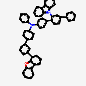 c1ccc(-c2ccc(-c3ccc(N(c4ccccc4)c4ccc(-c5cccc(-c6cccc7c6oc6ccccc67)c5)cc4)cc3)c(-n3c4ccccc4c4ccccc43)c2)cc1